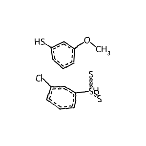 COc1cccc(S)c1.S=[SH](=S)c1cccc(Cl)c1